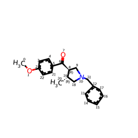 COc1ccc(C(=O)[C@H]2CN(Cc3ccccc3)C[C@@H]2C)cc1